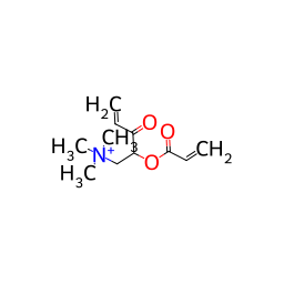 C=CC(=O)OC(C[N+](C)(C)C)C(=O)C=C